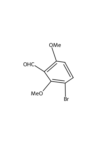 COc1ccc(Br)c(OC)c1C=O